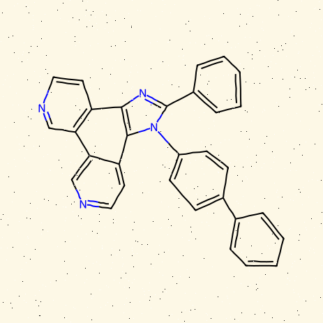 c1ccc(-c2ccc(-n3c(-c4ccccc4)nc4c5ccncc5c5cnccc5c43)cc2)cc1